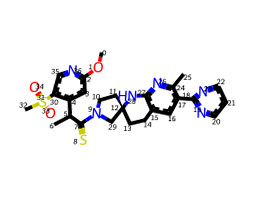 COc1cc(C(C)C(=S)N2CC[C@@]3(CCc4cc(-c5ncccn5)c(C)nc4N3)C2)c(S(C)(=O)=O)cn1